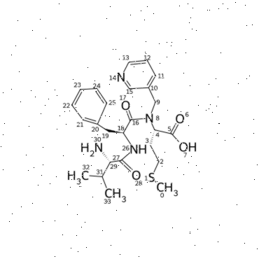 CSCC[C@@H](C(=O)O)N(Cc1cccnc1)C(=O)[C@H](Cc1ccccc1)NC(=O)[C@@H](N)C(C)C